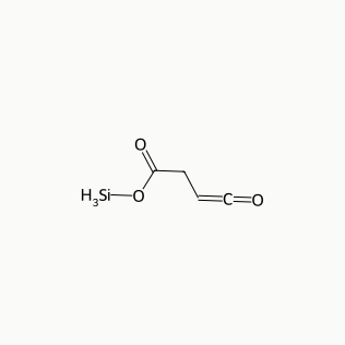 O=C=CCC(=O)O[SiH3]